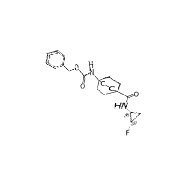 O=C(NC12CCC(C(=O)N[C@@H]3C[C@@H]3F)(CC1)CC2)OCc1ccccc1